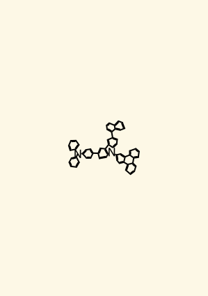 c1ccc(N(c2ccccc2)c2ccc(-c3ccc4c(c3)c3cc(-c5cccc6ccccc56)ccc3n4-c3ccc4c5ccccc5c5ccccc5c4c3)cc2)cc1